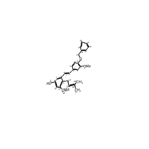 COc1cc(/C=C/c2cc(O)cc(OC)c2CC=C(C)C)ccc1OCc1ccccc1